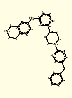 c1ccc(Cc2cnc(N3CCN(c4ncnc(Nc5ccc6c(c5)CNCC6)n4)CC3)nc2)cc1